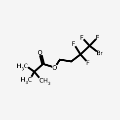 CC(C)(C)C(=O)OCCC(F)(F)C(F)(F)Br